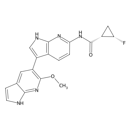 COc1nc2[nH]ccc2cc1-c1c[nH]c2nc(NC(=O)[C@@H]3C[C@@H]3F)ccc12